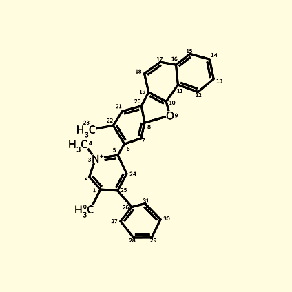 Cc1c[n+](C)c(-c2cc3oc4c5ccccc5ccc4c3cc2C)cc1-c1ccccc1